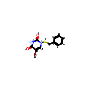 O=c1[nH]c(=O)n(SCc2ccccc2)cc1Br